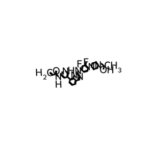 C=CC(=O)Nc1cncc(-c2cccc3cnc(Nc4ccc(N5CCN(CC(C)O)CC5)c(F)c4F)nc23)c1